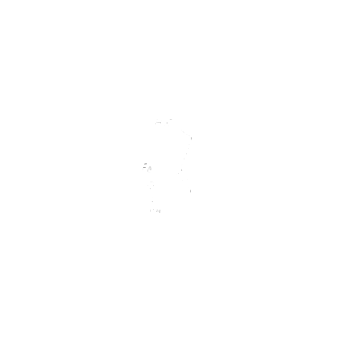 CCC(=O)[O][Fe].[Fe]